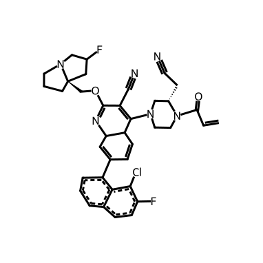 C=CC(=O)N1CCN(C2=C(C#N)C(OC[C@@]34CCCN3CC(F)C4)=NC3C=C(c4cccc5ccc(F)c(Cl)c45)C=CC23)C[C@@H]1CC#N